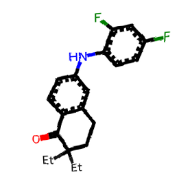 CCC1(CC)CCc2cc(Nc3ccc(F)cc3F)ccc2C1=O